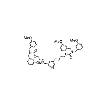 COc1cccc(CN(Cc2cccc(OC)c2)C(=O)OCCOCc2cncc(COCCOC(=O)N(Cc3cccc(OC)c3)Cc3cccc(OC)c3)c2)c1